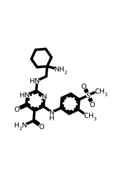 Cc1cc(Nc2nc(NCC3(N)CCCCC3)[nH]c(=O)c2C(N)=O)ccc1S(C)(=O)=O